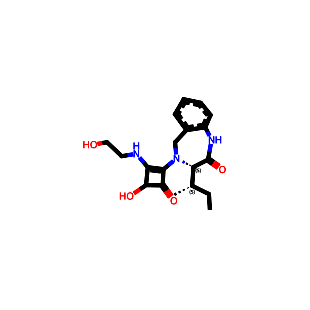 CC[C@H](C)[C@H]1C(=O)Nc2ccccc2CN1C1=C(NCCO)C(O)C1=O